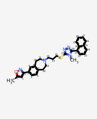 Cc1cc(-c2ccc3c(c2)CCN(CCCSc2nnc(-c4cccc5ccccc45)n2C)CC3)no1